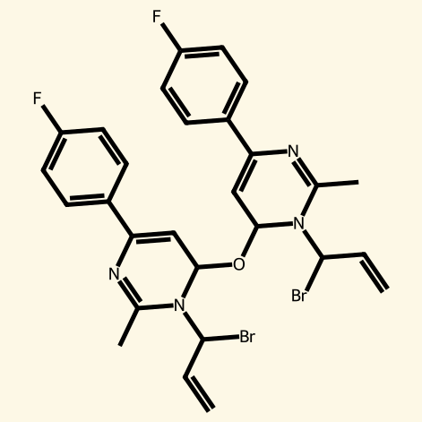 C=CC(Br)N1C(C)=NC(c2ccc(F)cc2)=CC1OC1C=C(c2ccc(F)cc2)N=C(C)N1C(Br)C=C